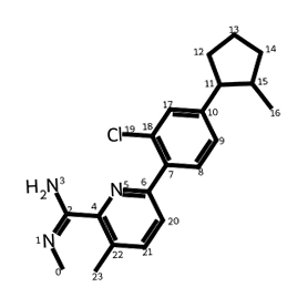 C/N=C(/N)c1nc(-c2ccc(C3CCCC3C)cc2Cl)ccc1C